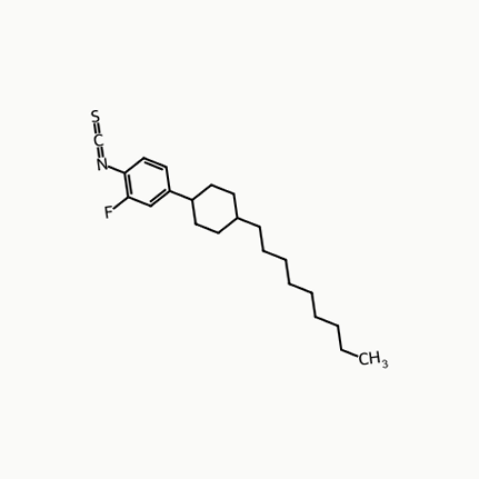 CCCCCCCCCC1CCC(c2ccc(N=C=S)c(F)c2)CC1